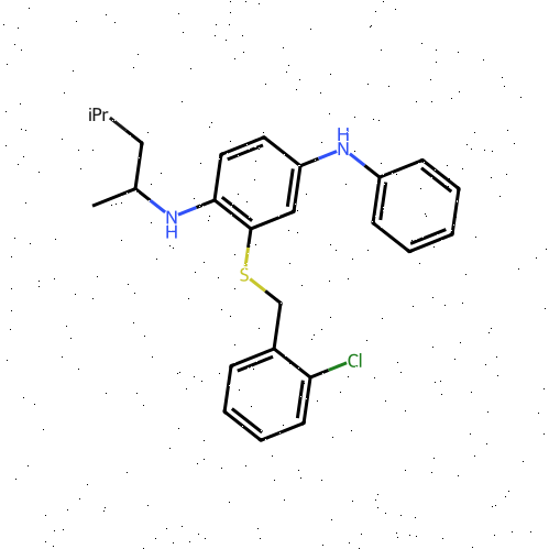 CC(C)CC(C)Nc1ccc(Nc2ccccc2)cc1SCc1ccccc1Cl